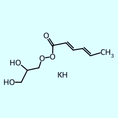 C/C=C/C=C/C(=O)OOCC(O)CO.[KH]